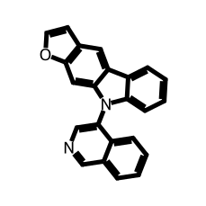 c1ccc2c(-n3c4ccccc4c4cc5ccoc5cc43)cncc2c1